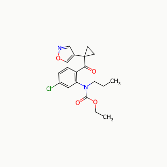 CCCN(C(=O)OCC)c1cc(Cl)ccc1C(=O)C1(c2cnoc2)CC1